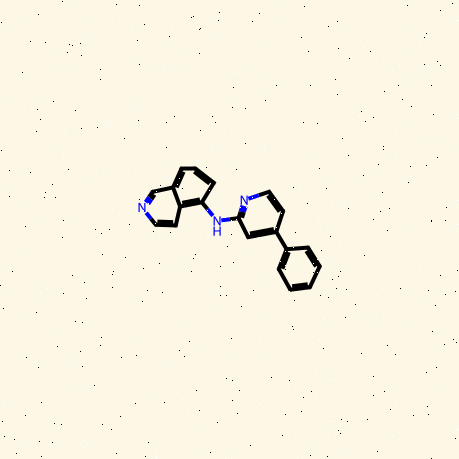 c1ccc(-c2ccnc(Nc3cccc4cnccc34)c2)cc1